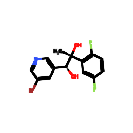 C[C@](O)(c1cc(F)ccc1F)[C@H](O)c1cncc(Br)c1